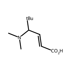 CN(C)C(/C=C/C(=O)O)C(C)(C)C